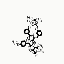 COc1ccc([C@H](NC(=O)[C@H](Cc2cccc(OCC(=O)OC(C)(C)C)c2)NC(=O)c2cccc(Cl)c2)C(=O)N[C@H](C(=O)C(F)(F)F)C(C)C)cc1